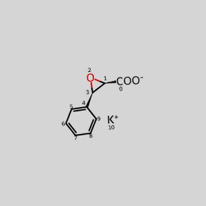 O=C([O-])[C@@H]1O[C@@H]1c1ccccc1.[K+]